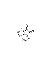 B=c1c(=O)c2ccnc3cccc1c32